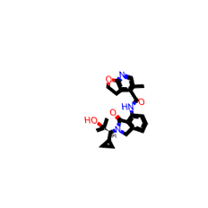 Cc1cnc2c(c1C(=O)Nc1cccc3c1C(=O)N([C@H](C1CC1)C(C)(C)O)C3)CCO2